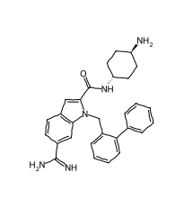 N=C(N)c1ccc2cc(C(=O)N[C@H]3CC[C@H](N)CC3)n(Cc3ccccc3-c3ccccc3)c2c1